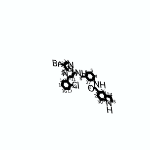 O=C(Nc1cccc(CNc2cc(-c3ccccc3Cl)nc3c(Br)cnn23)c1)c1ccc2[nH]ccc2c1